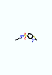 CCCCNS(=O)(=O)c1ccc2sc(C)[n+](C)c2c1